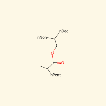 CCCCCCCCCCC(CCCCCCCCC)COC(=O)C(C)CCCCC